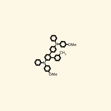 COc1ccc(N(c2ccccc2)c2ccc(-c3ccc(N(c4ccccc4)c4ccc(OC)cc4)cc3-c3cccc(C)c3)cc2)cc1